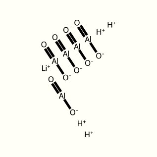 [H+].[H+].[H+].[H+].[Li+].[O]=[Al][O-].[O]=[Al][O-].[O]=[Al][O-].[O]=[Al][O-].[O]=[Al][O-]